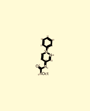 CCCCCCCCC(=O)N=c1ccn(-c2ccccc2)nc1